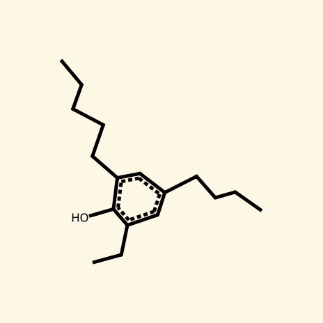 CCCCCc1cc(CCCC)cc(CC)c1O